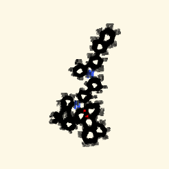 CC1(C)c2ccccc2-c2c(N(c3ccc(-c4cccc(-n5c6c(c7cc(-c8ccc9ccccc9c8)ccc75)C=CCC6)c4)cc3)c3ccc(-c4cccc5cccc(-c6ccccc6)c45)cc3)cccc21